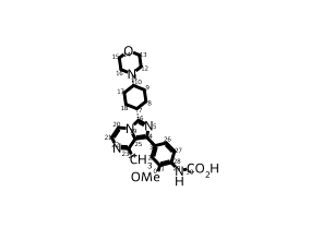 COc1cc(-c2nc([C@H]3CC[C@@H](N4CCOCC4)CC3)n3ccnc(C)c23)ccc1NC(=O)O